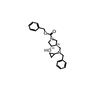 O=C(OCc1ccccc1)N1C[C@@H](CN(Cc2ccccc2)C2CC2)[C@H](O)C1